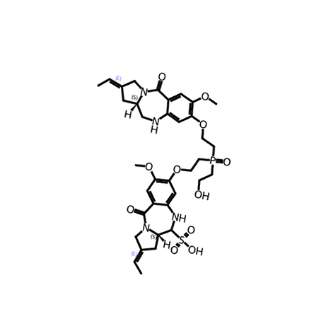 C/C=C1\C[C@H]2CNc3cc(OCCP(=O)(CCO)CCOc4cc5c(cc4OC)C(=O)N4C/C(=C/C)C[C@H]4C(S(=O)(=O)O)N5)c(OC)cc3C(=O)N2C1